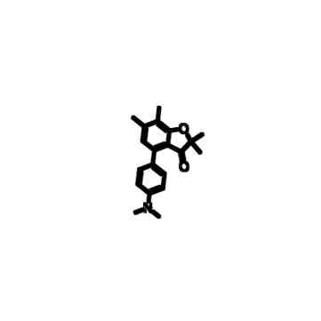 Cc1cc(-c2ccc(N(C)C)cc2)c2c(c1C)OC(C)(C)C2=O